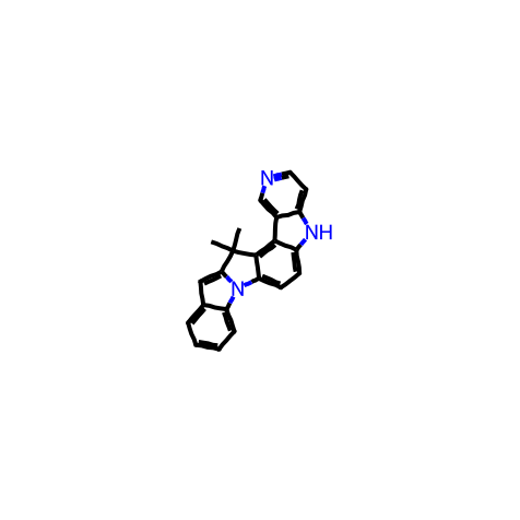 CC1(C)c2c(ccc3[nH]c4ccncc4c23)-n2c1cc1ccccc12